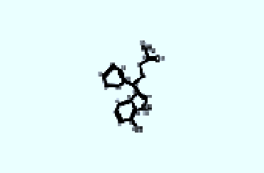 CCc1cccc2c(C(CCC(N)=O)c3ccccc3)c[nH]c12